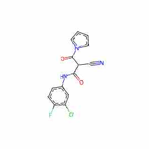 N#CC(C(=O)Nc1ccc(F)c(Cl)c1)C(=O)n1cccc1